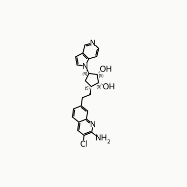 Nc1nc2cc(CC[C@H]3C[C@@H](n4ccc5cnccc54)[C@H](O)[C@@H]3O)ccc2cc1Cl